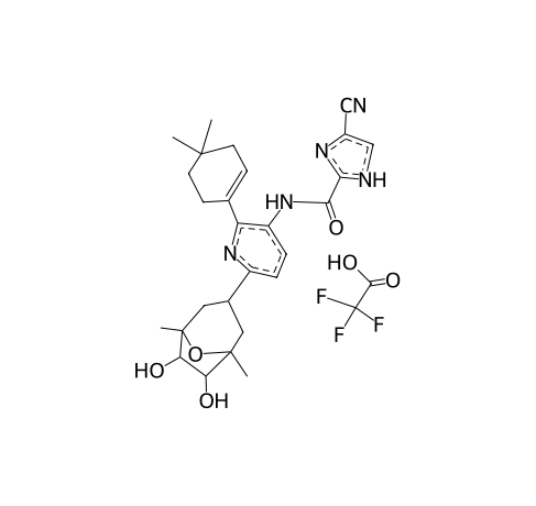 CC1(C)CC=C(c2nc(C3CC4(C)OC(C)(C3)C(O)C4O)ccc2NC(=O)c2nc(C#N)c[nH]2)CC1.O=C(O)C(F)(F)F